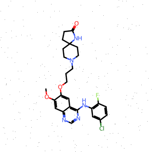 COc1cc2ncnc(Nc3cc(Cl)ccc3F)c2cc1OCCCN1CCC2(CCC(=O)N2)CC1